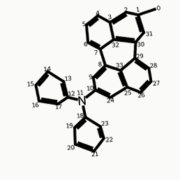 Cc1cc2cccc3c4cc(N(c5ccccc5)c5ccccc5)cc5cccc(c(c1)c23)c54